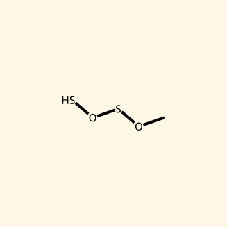 COSOS